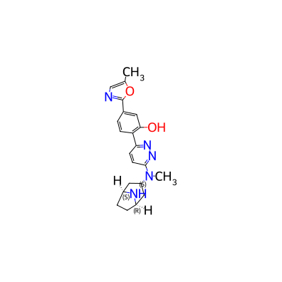 Cc1cnc(-c2ccc(-c3ccc(N(C)[C@@H]4C[C@H]5CC[C@@H](C4)N5)nn3)c(O)c2)o1